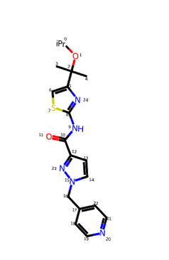 CC(C)OC(C)(C)c1csc(NC(=O)c2ccn(Cc3ccncc3)n2)n1